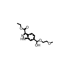 CCOC(=O)c1n[nH]c2cc(C(O)OCCOC)ccc12